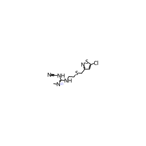 C/N=C(\NC#N)NCCSCc1cc(Cl)sn1